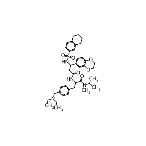 CCN(CC)Cc1ccc(CC(NC(=O)CC(NS(=O)(=O)c2ccc3c(c2)CCCC3)c2ccc3c(c2)OCCO3)C(=O)N(C)C(C)C)cc1